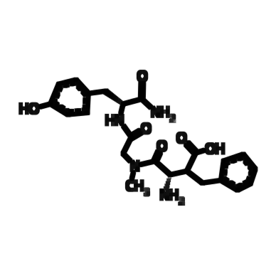 CN(CC(=O)N[C@@H](Cc1ccc(O)cc1)C(N)=O)C(=O)[C@@H](N)C(Cc1ccccc1)C(=O)O